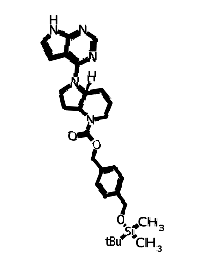 CC(C)(C)[Si](C)(C)OCc1ccc(COC(=O)N2CCC[C@@H]3C2CCN3c2ncnc3[nH]ccc23)cc1